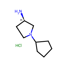 Cl.N[C@@H]1CCN(C2CCCC2)C1